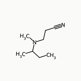 CCC(C)N(C)CCC#N